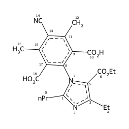 CCCc1nc(CC)c(C(=O)OCC)n1-c1c(C(=O)O)c(C)c(C#N)c(C)c1C(=O)O